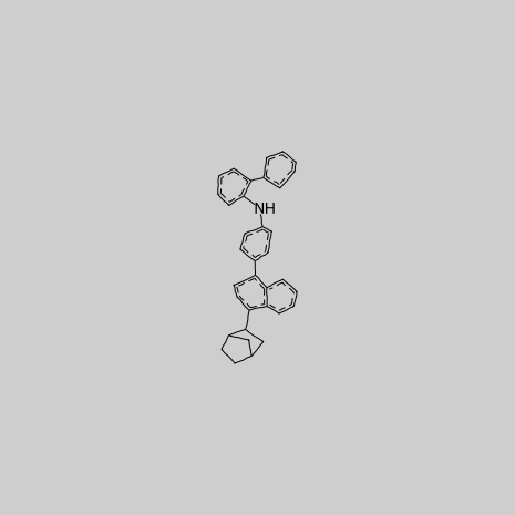 c1ccc(-c2ccccc2Nc2ccc(-c3ccc(C4CC5CCC4C5)c4ccccc34)cc2)cc1